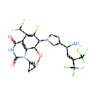 COC1c2c(c(=O)[nH]c(=O)n2C2CC2)C(C(F)F)=C(F)C1N1CCC(C(N)C=C(C(F)(F)F)C(F)(F)F)C1